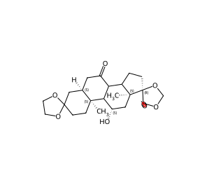 C[C@]12C[C@H](O)C3C(C(=O)C[C@@H]4CC5(CC[C@]34C)OCCO5)C1CC[C@@]21OCOC12COCO2